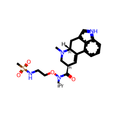 CC(C)N(OCCNS(C)(=O)=O)C(=O)[C@@H]1C=C2c3cccc4[nH]cc(c34)C[C@H]2N(C)C1